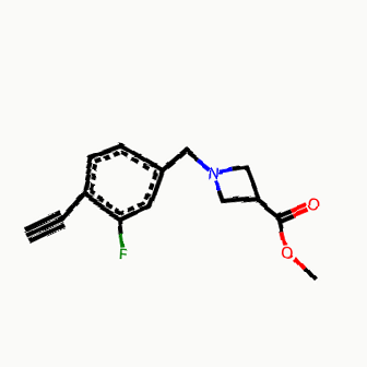 C#Cc1ccc(CN2CC(C(=O)OC)C2)cc1F